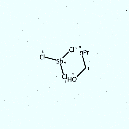 CCCCO.[Cl][Sb]([Cl])[Cl]